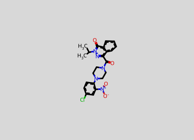 CC(C)n1nc(C(=O)N2CCN(c3ccc(Cl)cc3[N+](=O)[O-])CC2)c2ccccc2c1=O